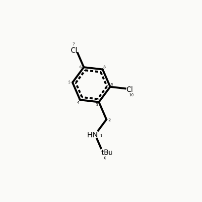 CC(C)(C)NCc1ccc(Cl)cc1Cl